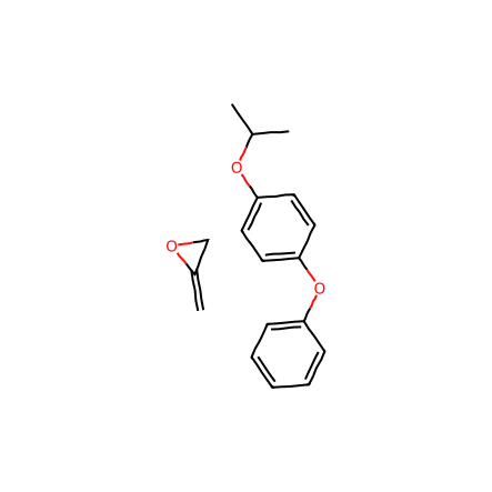 C=C1CO1.CC(C)Oc1ccc(Oc2ccccc2)cc1